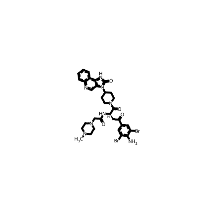 CN1CCN(CC(=O)N[C@H](CC(=O)c2cc(Br)c(N)c(Br)c2)C(=O)N2CCC(n3c(=O)[nH]c4c5ccccc5ncc43)CC2)CC1